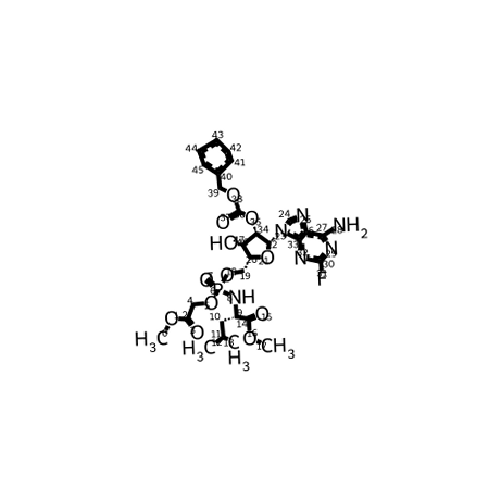 COC(=O)COP(=O)(N[C@@H](CC(C)C)C(=O)OC)OC[C@H]1O[C@@H](n2cnc3c(N)nc(F)nc32)[C@@H](OC(=O)OCc2ccccc2)[C@@H]1O